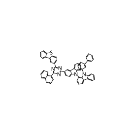 c1ccc(-c2cccc(-n3c4ccccc4c4cccc(-n5c6ccccc6c6cc(-c7nc(-c8ccc9sc%10ccccc%10c9c8)nc(-c8cccc9ccccc89)n7)ccc65)c43)c2)cc1